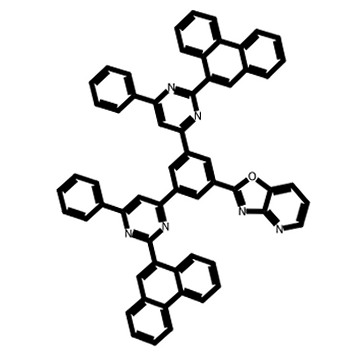 c1ccc(-c2cc(-c3cc(-c4cc(-c5ccccc5)nc(-c5cc6ccccc6c6ccccc56)n4)cc(-c4nc5ncccc5o4)c3)nc(-c3cc4ccccc4c4ccccc34)n2)cc1